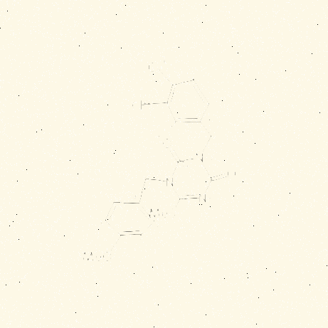 COc1ccc(Cn2c(SC)nc(=O)n(Cc3ccc(Cl)c(Cl)c3)c2=O)cc1